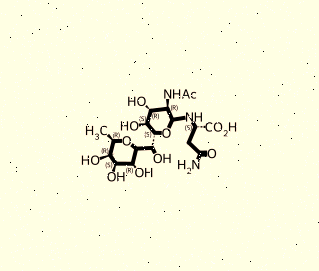 CC(=O)N[C@H]1C(N[C@@H](CC(N)=O)C(=O)O)O[C@H](C(O)C2O[C@H](C)[C@H](O)[C@H](O)[C@H]2O)[C@@H](O)[C@@H]1O